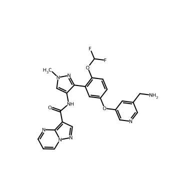 Cn1cc(NC(=O)c2cnn3cccnc23)c(-c2cc(Oc3cncc(CN)c3)ccc2OC(F)F)n1